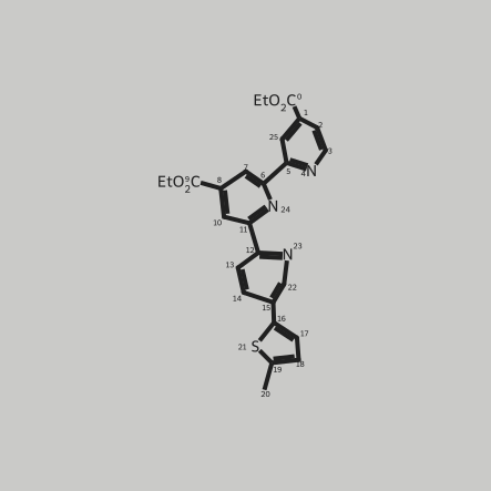 CCOC(=O)c1ccnc(-c2cc(C(=O)OCC)cc(-c3ccc(-c4ccc(C)s4)cn3)n2)c1